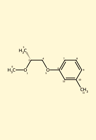 CO[C@H](C)COc1cccc(C)c1